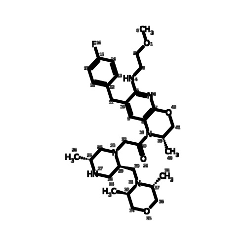 COCCNc1nc2c(cc1Cc1ccc(F)cc1)N(C(=O)CN1C[C@@H](C)NC[C@@H]1CN1[C@H](C)COC[C@H]1C)[C@@H](C)CO2